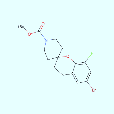 CC(C)(C)OC(=O)N1CCC2(CCc3cc(Br)cc(F)c3O2)CC1